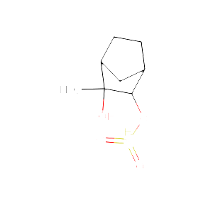 CC1(O)C2CCC(C2)C1O[SH](=O)=O